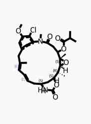 COc1cc2cc(c1Cl)N(C)C(=O)CC(OC(=O)C(C)C)[C@]1(C)O[C@H]1[C@H](C)[C@@H]1C[C@H](C/C=C/C=C(\C)C2)NC(=O)O1